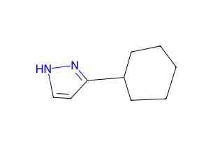 c1cc(C2CCCCC2)n[nH]1